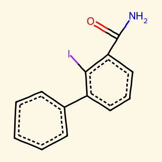 NC(=O)c1cccc(-c2ccccc2)c1I